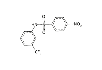 O=[N+]([O-])c1ccc(S(=O)(=O)Nc2cccc(C(F)(F)F)c2)cc1